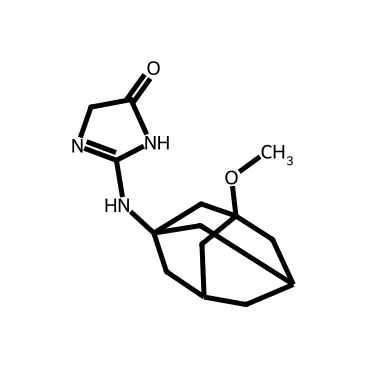 COC12CC3CC(CC(NC4=NCC(=O)N4)(C3)C1)C2